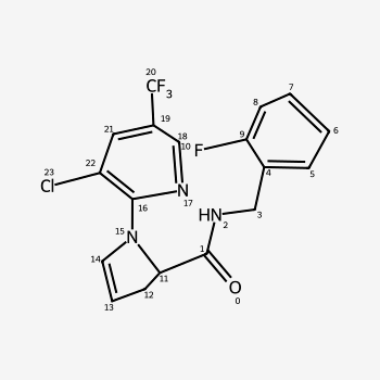 O=C(NCc1ccccc1F)C1CC=CN1c1ncc(C(F)(F)F)cc1Cl